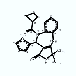 CC1(C)NC(=O)C2=C1Nc1ccccc1N(C(=O)C1CCC1)C2c1ccco1